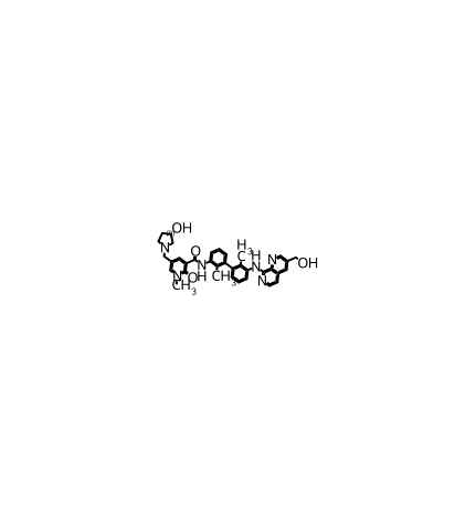 Cc1c(NC(=O)c2cc(CN3CC[C@@H](O)C3)cn(C)c2=O)cccc1-c1cccc(Nc2nccc3cc(CO)cnc23)c1C